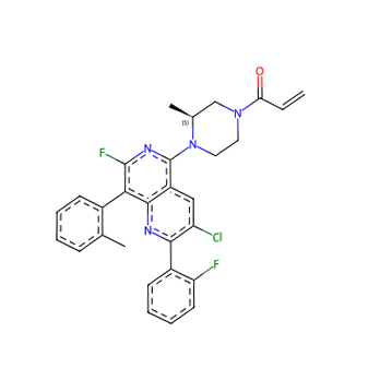 C=CC(=O)N1CCN(c2nc(F)c(-c3ccccc3C)c3nc(-c4ccccc4F)c(Cl)cc23)[C@@H](C)C1